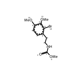 COC(=O)NCCc1ccc(OC)c(OC)c1Br